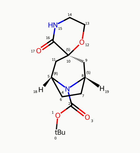 CC(C)(C)OC(=O)N1[C@@H]2CC[C@H]1C[C@@]1(C2)OCCNC1=O